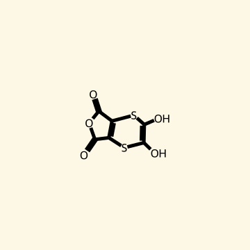 O=c1oc(=O)c2sc(O)c(O)sc1=2